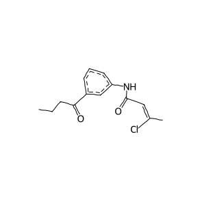 CCCC(=O)c1cccc(NC(=O)C=C(C)Cl)c1